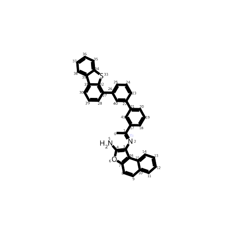 C/C(=N\c1c(N)oc2ccc3ccccc3c12)c1cccc(-c2cccc(-c3cccc4c3sc3ccccc34)c2)c1